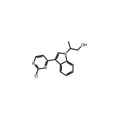 CC(CO)n1cc(-c2ccnc(Cl)n2)c2ccccc21